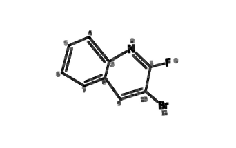 Fc1nc2ccccc2cc1Br